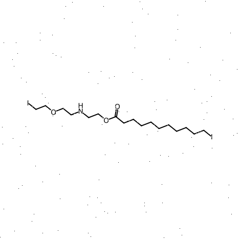 O=C(CCCCCCCCCCI)OCCNCCOCCI